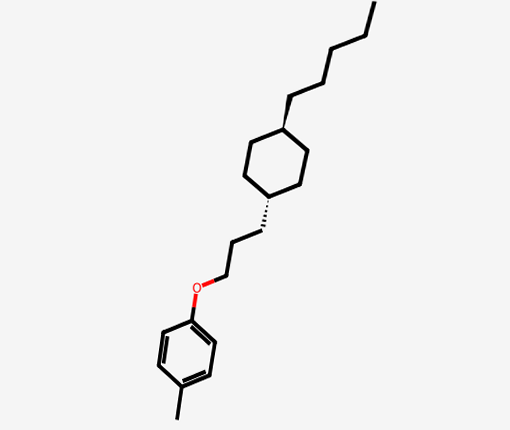 CCCCC[C@H]1CC[C@H](CCCOc2ccc(C)cc2)CC1